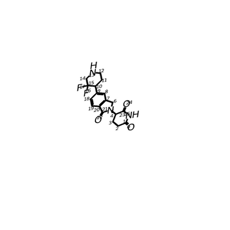 O=C1CCC(N2Cc3cc(C4CCNCC4(F)F)ccc3C2=O)C(=O)N1